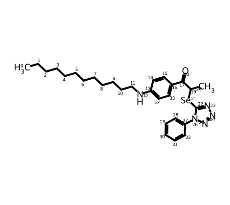 CCCCCCCCCCCCNc1ccc(C(=O)C(C)[Se]c2nnnn2-c2ccccc2)cc1